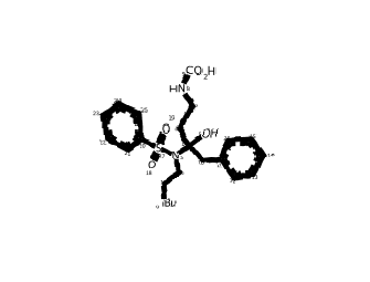 CCC(C)CCN(C(O)(CCNC(=O)O)Cc1ccccc1)S(=O)(=O)c1ccccc1